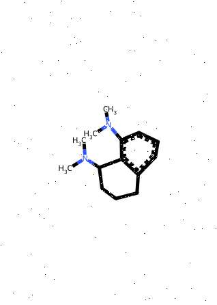 CN(C)c1cccc2c1C(N(C)C)CCC2